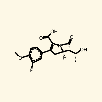 COc1ccc(C2=C(C(=O)O)N3C(=O)[C@H]([C@@H](C)O)[C@H]3C2)cc1F